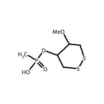 COC1CSSCC1OP(C)(=O)O